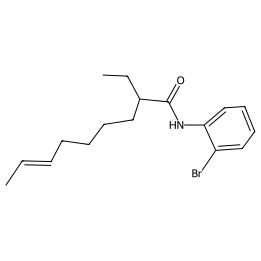 CC=CCCCCC(CC)C(=O)Nc1ccccc1Br